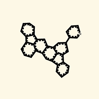 c1cncc(-c2cc3c4ccccc4c4cc5c(cc6c7ccccc7c7cccc5c76)c(c2)c34)c1